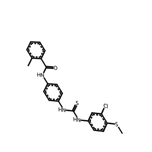 CSc1ccc(NC(=S)Nc2ccc(NC(=O)c3ccccc3C)cc2)cc1Cl